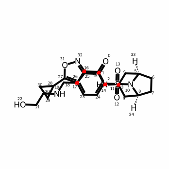 O=C(N[C@H]1C[C@H]2CC[C@@H](C1)N2S(=O)(=O)c1ccc(CNCCO)cc1)c1cc(C2CC2)on1